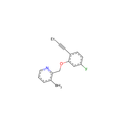 Bc1cccnc1COc1cc(F)ccc1C#CCC